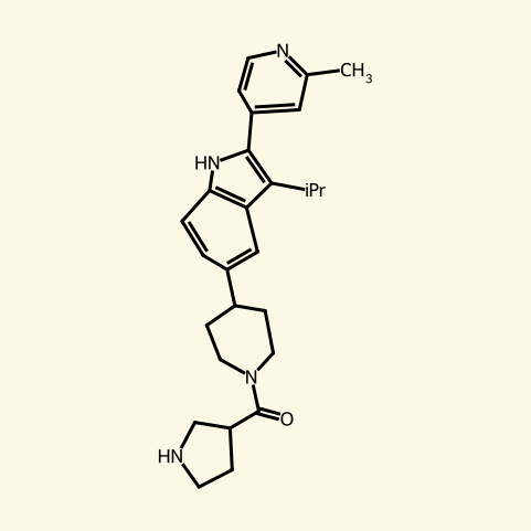 Cc1cc(-c2[nH]c3ccc(C4CCN(C(=O)C5CCNC5)CC4)cc3c2C(C)C)ccn1